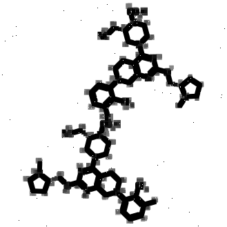 CN1CCC[C@H]1COc1nc2c(c(N3CCN(C(=O)O)[C@@H](CC#N)C3)n1)CCN(c1cccc(Cl)c1C(F)(F)F)C2.Cc1cccc(N2CCc3c(nc(OC[C@@H]4CCCN4C)nc3N3CCN(C(=O)O)[C@@H](CC#N)C3)C2)c1C(F)(F)F